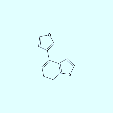 C1=C(c2ccoc2)c2ccsc2CC1